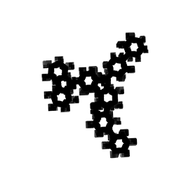 c1ccc(-c2ccc(-n3c4ccc(-n5c6ccccc6c6ccccc65)cc4c4c5sc6ccc(-c7ccccc7)cc6c5ccc43)cc2)cc1